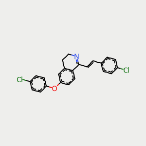 Clc1ccc(/C=C/C2=NCCc3cc(Oc4ccc(Cl)cc4)ccc32)cc1